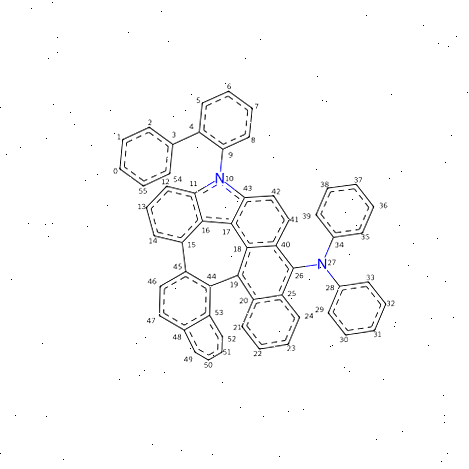 c1ccc(-c2ccccc2-n2c3cccc4c3c3c5c(c6ccccc6c(N(c6ccccc6)c6ccccc6)c5ccc32)-c2c-4ccc3ccccc23)cc1